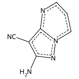 N#Cc1c(N)nn2cccnc12